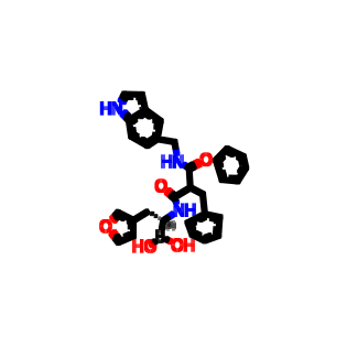 O=C(NCc1ccc2[nH]ccc2c1)C(Cc1ccccc1)C(=O)N[C@@H](Cc1ccoc1)B(O)O.c1ccccc1